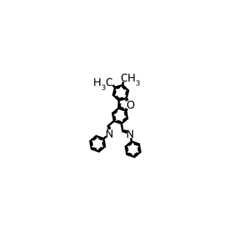 Cc1cc2oc3cc(/C=N/c4ccccc4)c(/C=N/c4ccccc4)cc3c2cc1C